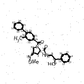 CO/N=C1\C[C@@H](C(=O)NC[C@H](O)c2ccccc2)N(C(=O)c2ccc(-c3ccccc3)c(C)c2)C1